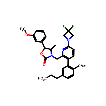 COc1ccc(CCC(=O)O)cc1-c1ccc(N2CC(F)(F)C2)nc1CN1C(=O)OC(c2cccc(OC(F)(F)F)c2)C1C